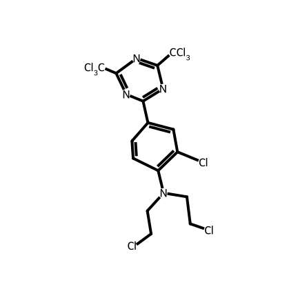 ClCCN(CCCl)c1ccc(-c2nc(C(Cl)(Cl)Cl)nc(C(Cl)(Cl)Cl)n2)cc1Cl